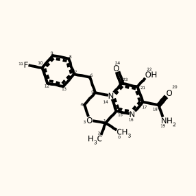 CC1(C)OCC(Cc2ccc(F)cc2)n2c1nc(C(N)=O)c(O)c2=O